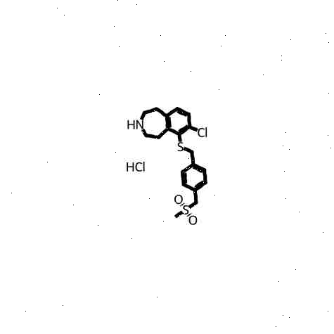 CS(=O)(=O)Cc1ccc(CSc2c(Cl)ccc3c2CCNCC3)cc1.Cl